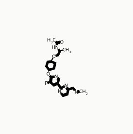 C=NCc1ccnc(-c2cnc(O[C@H]3CC[C@H](OC[C@H](C)NC(C)=O)CC3)c(F)c2)n1